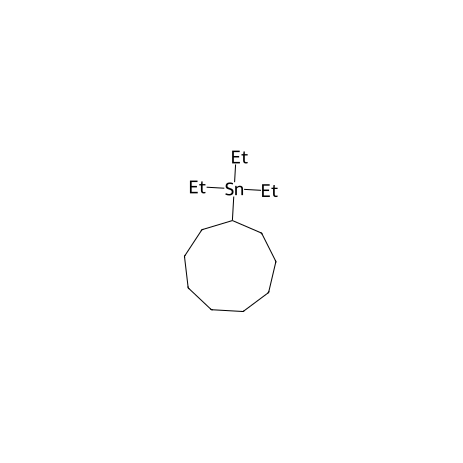 C[CH2][Sn]([CH2]C)([CH2]C)[CH]1CCCCCCCC1